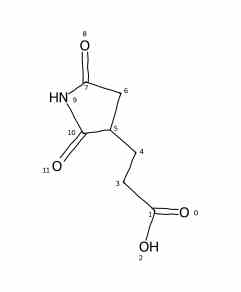 O=C(O)CCC1CC(=O)NC1=O